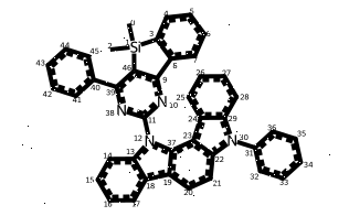 C[Si]1(C)c2ccccc2-c2nc(-n3c4ccccc4c4ccc5c(c6ccccc6n5-c5ccccc5)c43)nc(-c3ccccc3)c21